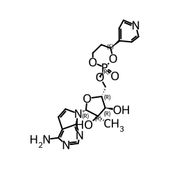 C[C@@]1(O)[C@H](O)[C@@H](CO[P@@]2(=O)OCC[C@@H](c3ccncc3)O2)O[C@H]1n1ccc2c(N)ncnc21